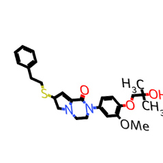 COc1cc(N2CCN3CC(SCCc4ccccc4)C=C3C2=O)ccc1OCC(C)(C)O